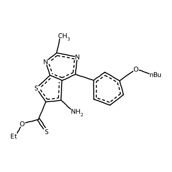 CCCCOc1cccc(-c2nc(C)nc3sc(C(=S)OCC)c(N)c23)c1